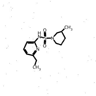 CCc1cccc(NS(=O)(=O)N2CCCC(C)C2)n1